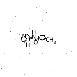 Cc1ccn(C(=O)N[C@@H]2C[C@H]3CCN(C3)C2)c1